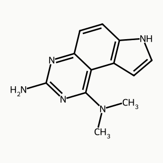 CN(C)c1nc(N)nc2ccc3[nH]ccc3c12